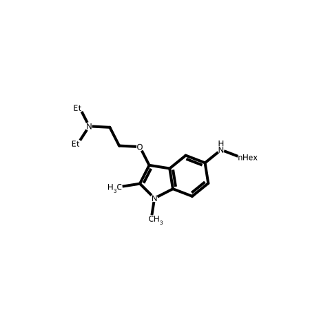 CCCCCCNc1ccc2c(c1)c(OCCN(CC)CC)c(C)n2C